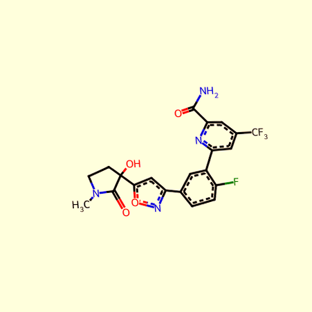 CN1CCC(O)(c2cc(-c3ccc(F)c(-c4cc(C(F)(F)F)cc(C(N)=O)n4)c3)no2)C1=O